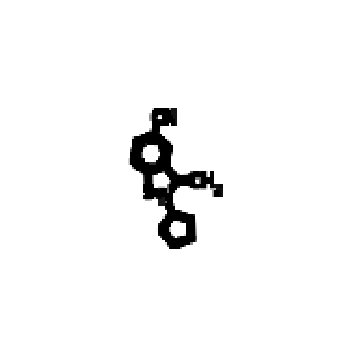 C=C1c2cc(C#N)ccc2SN1C1CCCC1